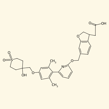 Cc1cc(OCC2(O)CCS(=O)(=O)CC2)cc(C)c1-c1cccc(OCc2ccc3c(c2)OCC3CC(=O)O)n1